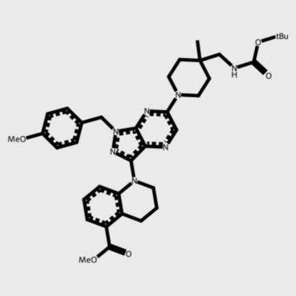 COC(=O)c1cccc2c1CCCN2c1nn(Cc2ccc(OC)cc2)c2nc(N3CCC(C)(CNC(=O)OC(C)(C)C)CC3)cnc12